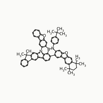 CC(C)(C)c1ccc(N2B3c4cc5oc6ccccc6c5cc4-n4c5cc6c(cc5c5ccc(c3c54)-c3cc4c(cc32)oc2cc3c(cc24)C(C)(C)CCC3(C)C)-c2ccccc2C6(C)C)cc1